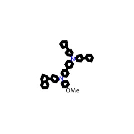 COc1ccc(N(c2ccc(-c3ccc(N(c4ccc(-c5ccccc5)cc4)c4ccc(-c5ccccc5)cc4)cc3)cc2)c2ccc(-c3cccc4ccccc34)cc2)cc1